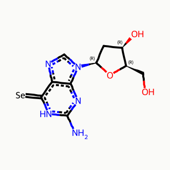 Nc1nc2c(ncn2[C@H]2C[C@@H](O)[C@@H](CO)O2)c(=[Se])[nH]1